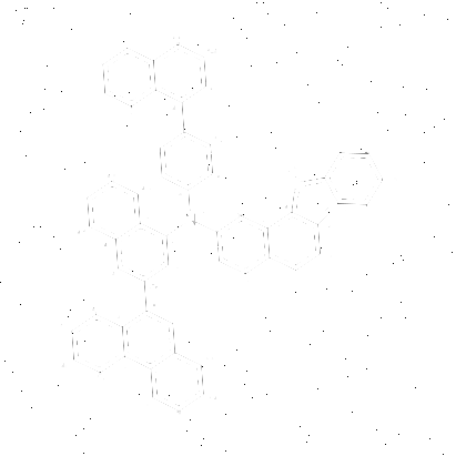 c1ccc2c(-c3ccc(N(c4ccc5ccc6c7ccccc7oc6c5c4)c4cc(-c5cc6ccccc6c6ccccc56)cc5ccccc45)cc3)cccc2c1